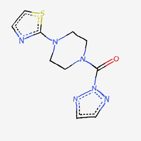 O=C(N1CCN(c2nccs2)CC1)n1nccn1